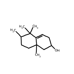 CC1CCC2(C)CC(O)CC=C2C1(C)C